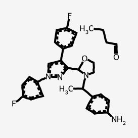 CC(c1ccc(N)cc1)N1CCOC1c1nn(-c2ccc(F)cc2)cc1-c1ccc(F)cc1.CCCC=O